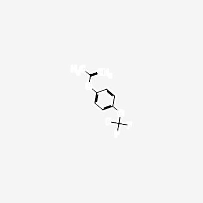 C=C(C)Oc1ccc(OC(F)(F)F)cc1